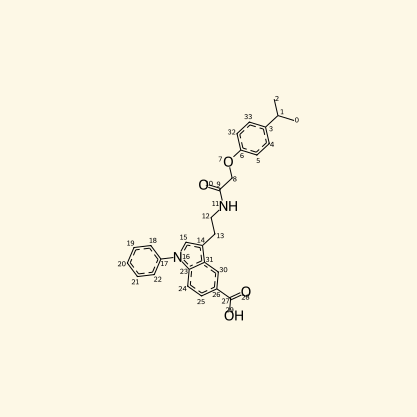 CC(C)c1ccc(OCC(=O)NCCc2cn(-c3ccccc3)c3ccc(C(=O)O)cc23)cc1